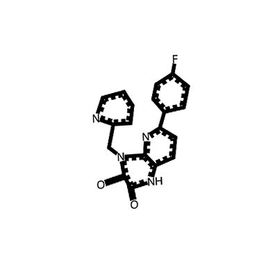 O=c1[nH]c2ccc(-c3ccc(F)cc3)nc2n(Cc2ccccn2)c1=O